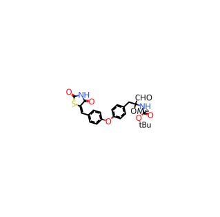 COC(C=O)(Cc1ccc(Oc2ccc(C=C3SC(=O)NC3=O)cc2)cc1)NC(=O)OC(C)(C)C